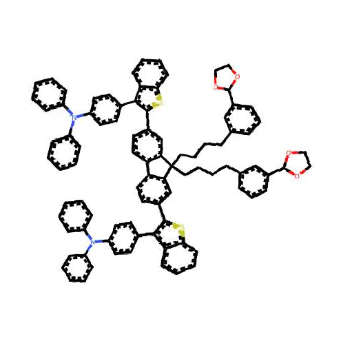 c1ccc(N(c2ccccc2)c2ccc(-c3c(-c4ccc5c(c4)C(CCCCc4cccc(C6OCCO6)c4)(CCCCc4cccc(C6OCCO6)c4)c4cc(-c6sc7ccccc7c6-c6ccc(N(c7ccccc7)c7ccccc7)cc6)ccc4-5)sc4ccccc34)cc2)cc1